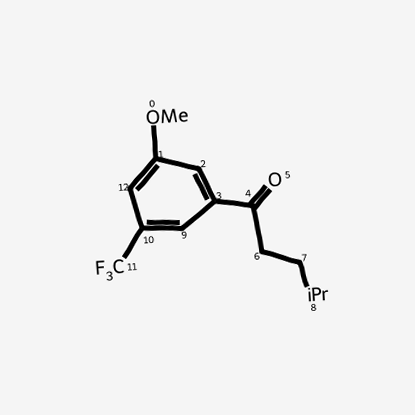 COc1cc(C(=O)CCC(C)C)cc(C(F)(F)F)c1